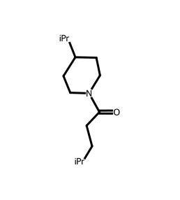 CC(C)CCC(=O)N1CCC(C(C)C)CC1